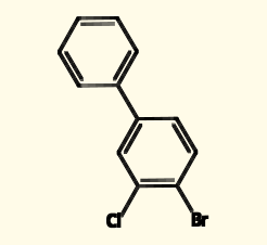 Clc1cc(-c2ccccc2)ccc1Br